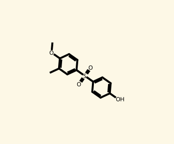 COc1ccc(S(=O)(=O)c2ccc(O)cc2)cc1C